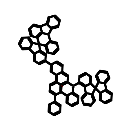 c1ccc(-c2ccccc2-c2ccccc2N(c2ccc3cc(-c4ccc5c(c4)C4(c6ccccc6-5)c5ccccc5-n5c6ccccc6c6cccc4c65)ccc3c2)c2cccc3c2-c2ccccc2C32c3ccccc3-c3ccccc32)cc1